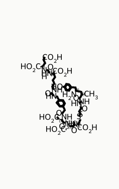 C[C@@H](C[C@@H](N)Cc1ccc(O)cc1)C(=O)NNC(=O)CSSC[C@@H](NC(=O)[C@H](CC(=O)O)NC(=O)[C@H](CC(=O)O)NC(=O)Cc1ccc(CNC(=O)NCCCC[C@@H](NC(=O)N[C@@H](CCC(=O)O)C(=O)O)C(=O)O)cc1)C(=O)O